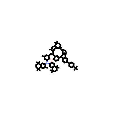 Cc1cc2c3c(c1)N(c1cc4c(cc1C)C(C)(C)CCC4(C)C)c1cc4c(cc1B3c1ccc3cc1C(=C2)c1cc2c(cc1C)C(C)(C)CCC2(C)C1CCC2(C)c5cc(-c6ccc(C(C)(C)C)cc6)ccc5C3C2(C)C1)C(C)(C)CCC4(C)C